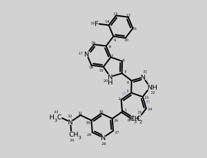 C=C(/C=c1/c(-c2cc3c(-c4ccccc4F)cncc3[nH]2)n[nH]/c1=C/C)c1cncc(CN(C)C)c1